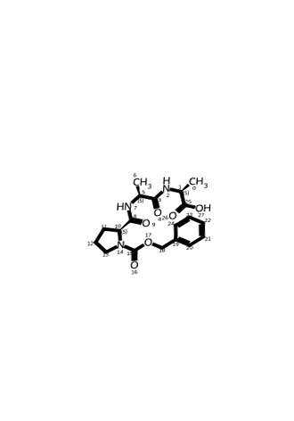 C[C@H](NC(=O)[C@H](C)NC(=O)[C@@H]1CCCN1C(=O)OCc1ccccc1)C(=O)O